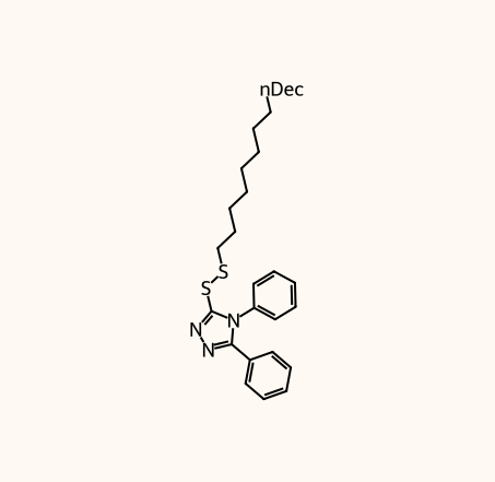 CCCCCCCCCCCCCCCCCCSSc1nnc(-c2ccccc2)n1-c1ccccc1